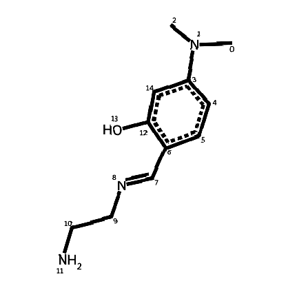 CN(C)c1ccc(C=NCCN)c(O)c1